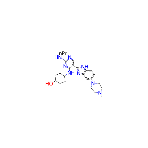 CCCNc1ncc(-c2nc3cc(N4CCN(C)CC4)ccc3[nH]2)c(NC2CCC(O)CC2)n1